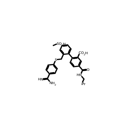 CC(C)CNC(=O)c1ccc(-c2ccccc2CSc2ccc(C(=N)N)cc2)c(C(=O)O)c1.CS(=O)(=O)O